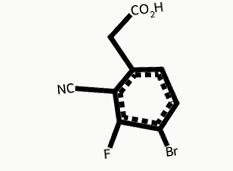 N#Cc1c(CC(=O)O)ccc(Br)c1F